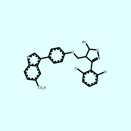 CC(C)C1ON=C(c2c(Cl)cccc2Cl)C1COc1ccc(-c2csc3ccc(C(=O)O)cc23)cc1